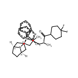 Cc1nc2ccccc2n1[C@H]1C[C@H]2CC[C@@H](C1)N2CCC(C)(CN(C)C(=O)C1CCC(F)(F)CC1)c1ccccc1